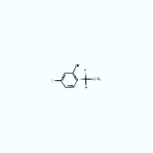 O=CC(F)(F)c1ccc(F)cc1Br